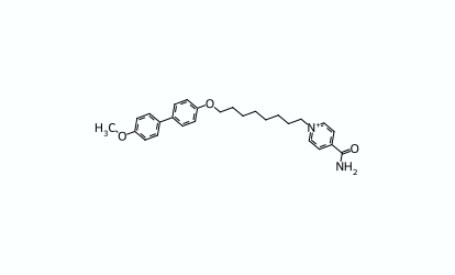 COc1ccc(-c2ccc(OCCCCCCCC[n+]3ccc(C(N)=O)cc3)cc2)cc1